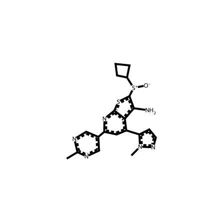 Cc1ncc(-c2cc(-c3ccnn3C)c3c(N)c([S+]([O-])C4CCC4)sc3n2)cn1